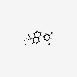 CCOC(=O)c1cnc2c(-c3cc(Cl)cc(Cl)c3)nccc2c1N(C)C